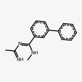 CN/C(=N\C(C)=N)c1cccc(-c2ccccc2)c1